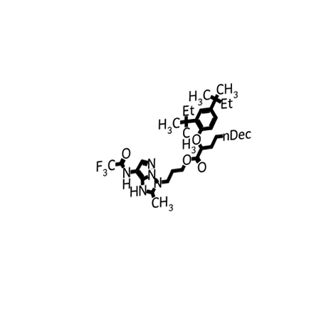 CCCCCCCCCCCCC(Oc1ccc(C(C)(C)CC)cc1C(C)(C)CC)C(=O)OCCCN1C(C)Nc2c(NC(=O)C(F)(F)F)cnn21